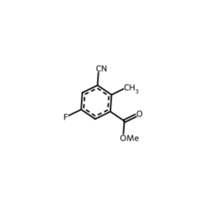 COC(=O)c1cc(F)cc(C#N)c1C